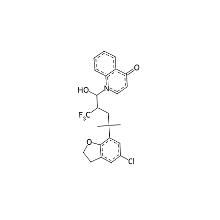 CC(C)(CC(C(O)n1ccc(=O)c2ccccc21)C(F)(F)F)c1cc(Cl)cc2c1OCC2